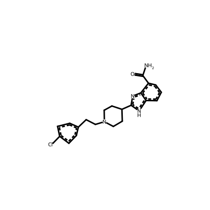 NC(=O)c1cccc2[nH]c(C3CCN(CCc4ccc(Cl)cc4)CC3)nc12